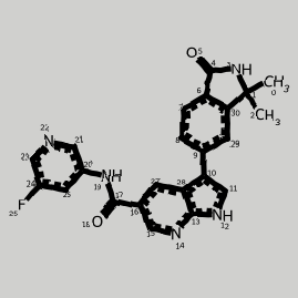 CC1(C)NC(=O)c2ccc(-c3c[nH]c4ncc(C(=O)Nc5cncc(F)c5)cc34)cc21